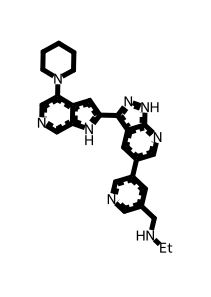 CCNCc1cncc(-c2cnc3[nH]nc(-c4cc5c(N6CCCCC6)cncc5[nH]4)c3c2)c1